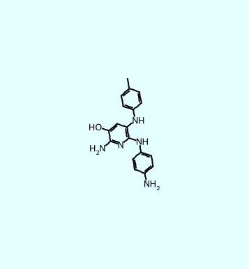 Cc1ccc(Nc2cc(O)c(N)nc2Nc2ccc(N)cc2)cc1